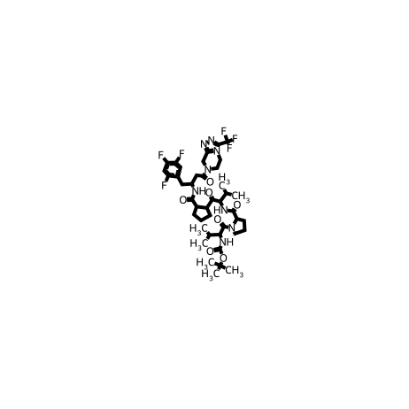 CC(C)C(NC(=O)C1CCCN1C(=O)C(NC(=O)OC(C)(C)C)C(C)C)C(=O)C1CCCC1C(=O)NC(CC(=O)N1CCn2c(nnc2C(F)(F)F)C1)Cc1cc(F)c(F)cc1F